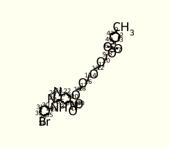 Cc1ccc(S(=O)(=O)OCCOCCOCCOCCOc2cc3ncnc(Nc4cccc(Br)c4)c3cc2[N+](=O)[O-])cc1